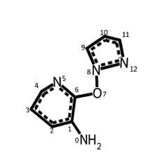 Nc1cccnc1On1cccn1